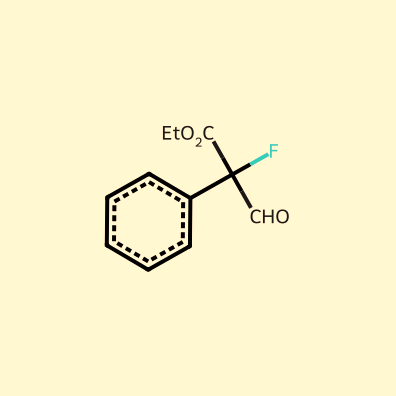 CCOC(=O)C(F)(C=O)c1ccccc1